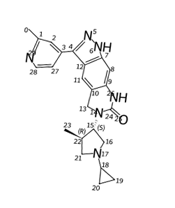 Cc1cc(-c2n[nH]c3cc4c(cc23)CN([C@@H]2CN(C3CC3)C[C@H]2C)C(=O)N4)ccn1